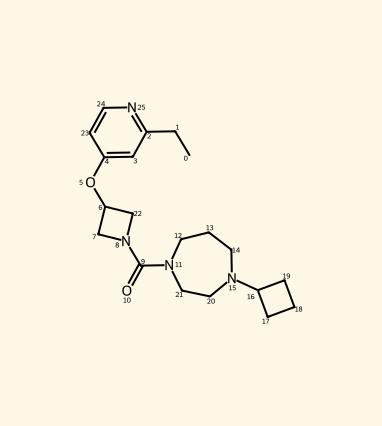 CCc1cc(OC2CN(C(=O)N3CCCN(C4CCC4)CC3)C2)ccn1